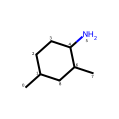 CC1CCC(N)C(C)C1